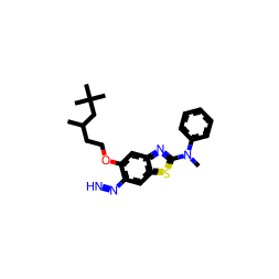 CC(CCOc1cc2nc(N(C)c3ccccc3)sc2cc1N=N)CC(C)(C)C